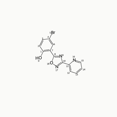 Oc1ccc(Br)cc1-c1nc(-c2ccccn2)no1